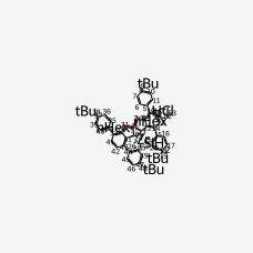 CCCCCCC1=Cc2c(-c3ccc(C(C)(C)C)cc3)ccc(-c3ccc(C(C)(C)C)cc3)c2[CH]1[Zr]([CH3])([CH3])(=[SiH2])[CH]1C(CCCCCC)=Cc2c(-c3ccc(C(C)(C)C)cc3)ccc(-c3ccc(C(C)(C)C)cc3)c21.Cl.Cl